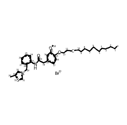 CCCCCCCCCCCCCCOc1ccc(CC(=O)Nc2ccccc2C[n+]2csc(C)c2)cc1OC.[Br-]